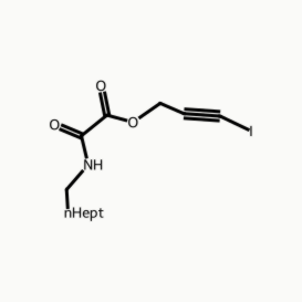 CCCCCCCCNC(=O)C(=O)OCC#CI